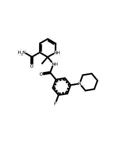 CC1(NC(=O)c2cc(F)cc(N3CCCCC3)c2)NC=CC=C1C(N)=O